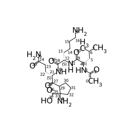 CC(=O)N[C@@H](CC(C)C)C(=O)N[C@@H](CCCCN)C(=O)N[C@@H](CCC(N)=O)C(=O)C1CCCC1(N)C(=O)O